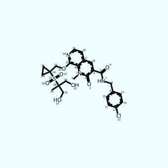 Cn1c(=O)c(C(=O)NCc2ccc(Cl)cc2)cc2ccnc(OCC3(S(=O)(=O)C(C)(CO)CO)CC3)c21